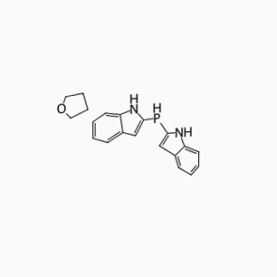 C1CCOC1.c1ccc2[nH]c(Pc3cc4ccccc4[nH]3)cc2c1